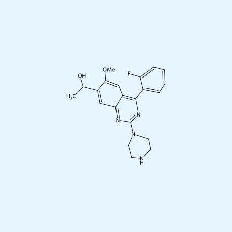 COc1cc2c(-c3ccccc3F)nc(N3CCNCC3)nc2cc1C(C)O